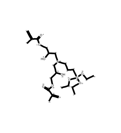 C=C(C)C(=O)OCC(O)CN(CCC[Si](OCC)(OCC)OCC)CC(O)COC(=O)C(=C)C